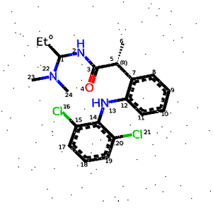 CCC(NC(=O)[C@H](C)c1ccccc1Nc1c(Cl)cccc1Cl)N(C)C